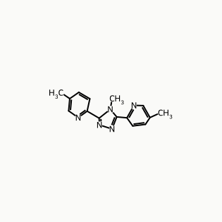 Cc1ccc(-c2nnc(-c3ccc(C)cn3)n2C)nc1